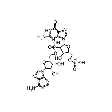 Nc1nc2c(ncn2[C@@H]2O[C@H](CO[PH](=O)O)[C@@H](O)[C@H]2P(=O)(O)OC[C@H]2O[C@@H](n3cnc4c(N)ncnc43)[C@@H](O)[C@@H]2O)c(=O)[nH]1